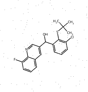 CC(C)(C)Sc1c(Cl)cccc1C(O)c1cnc2c(F)cccc2c1